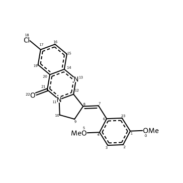 COc1ccc(OC)c(C=C2CCn3c2nc2ccc(Cl)cc2c3=O)c1